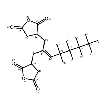 CC(C)(C)C(C)(C)C(C)(C)C(C)(C)C=C(CC1CC(=O)OC1=O)CC1CC(=O)OC1=O